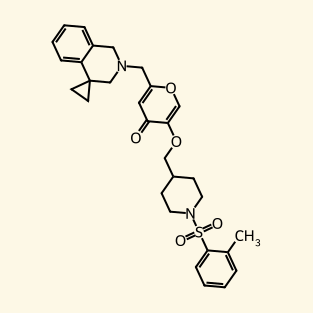 Cc1ccccc1S(=O)(=O)N1CCC(COc2coc(CN3Cc4ccccc4C4(CC4)C3)cc2=O)CC1